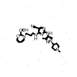 Cc1nn(C2CCN(C)CC2)cc1Nc1ncc(C#N)c(NCCCN2C=CC=COC2OO)n1